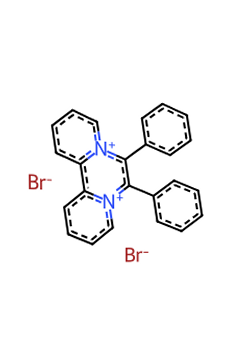 [Br-].[Br-].c1ccc(-c2c(-c3ccccc3)[n+]3ccccc3c3cccc[n+]23)cc1